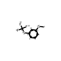 [CH2]Sc1cccc(SC(F)(F)F)c1